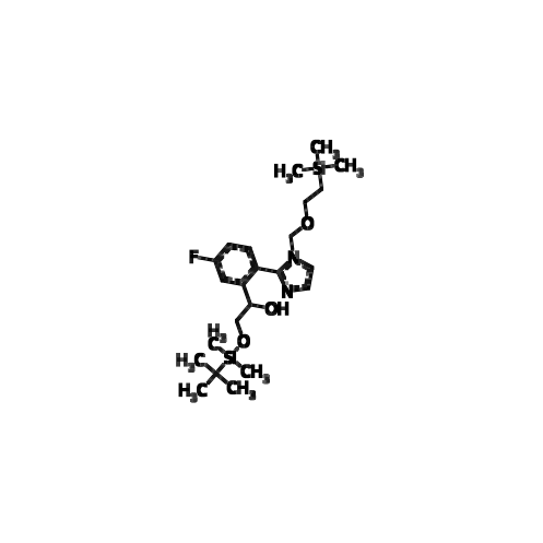 CC(C)(C)[Si](C)(C)OCC(O)c1cc(F)ccc1-c1nccn1COCC[Si](C)(C)C